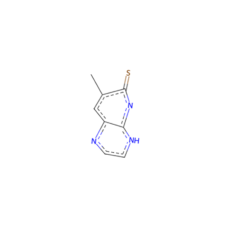 Cc1cc2ncc[nH]c-2nc1=S